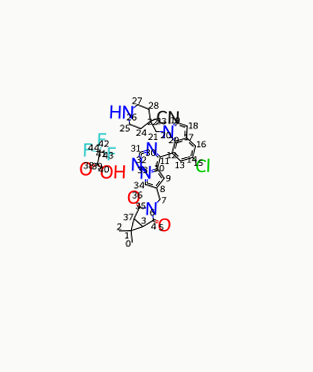 CC1(C)C2C(=O)N(Cc3cc4c(-c5cc(Cl)cc6ccn(CC7(C#N)CCNCC7)c56)ncnn4c3)C(=O)C21.O=C(O)C(F)(F)F